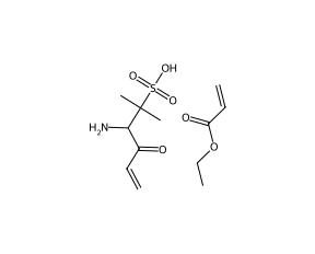 C=CC(=O)C(N)C(C)(C)S(=O)(=O)O.C=CC(=O)OCC